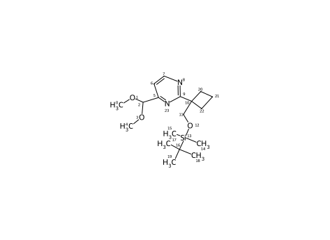 COC(OC)c1ccnc(C2(CO[Si](C)(C)C(C)(C)C)CCC2)n1